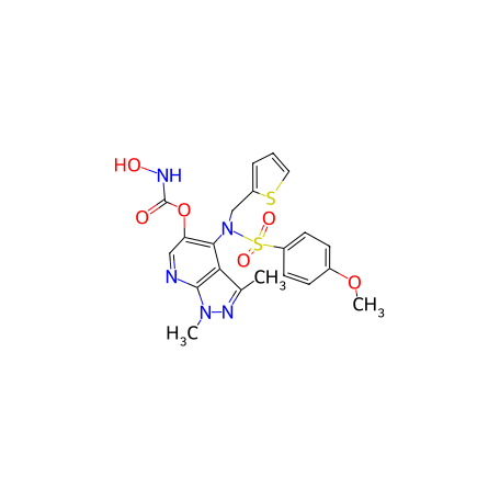 COc1ccc(S(=O)(=O)N(Cc2cccs2)c2c(OC(=O)NO)cnc3c2c(C)nn3C)cc1